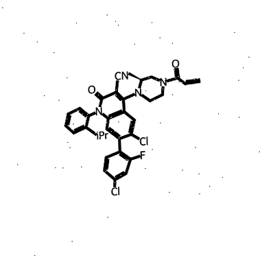 C=CC(=O)N1CCN(c2c(C#N)c(=O)n(-c3ccccc3C(C)C)c3cc(-c4ccc(Cl)cc4F)c(Cl)cc23)[C@@H](C)C1